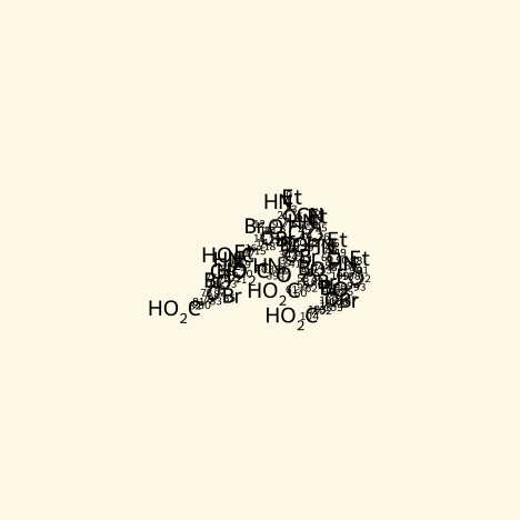 CCNc1cc(C#N)cc(COc2c(Br)cc(CCC(=O)O)cc2Br)c1.CCNc1cccc(COc2c(Br)cc(C(=O)NCC(=O)O)cc2Br)c1Cl.CCNc1cccc(COc2c(Br)cc(CC(=O)O)cc2Br)c1.CCNc1cccc(COc2c(Br)cc(CCC(=O)O)cc2Br)c1Cl.CCNc1cccc(COc2c(Br)cc(CCC(=O)O)cc2Br)c1F